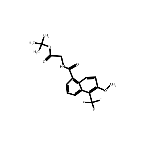 COc1ccc2c(C(=O)NCC(=O)OC(C)(C)C)cccc2c1C(F)(F)F